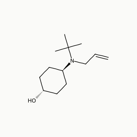 C=CCN([C@H]1CC[C@H](O)CC1)C(C)(C)C